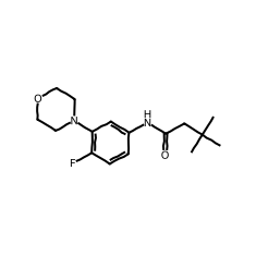 CC(C)(C)CC(=O)Nc1ccc(F)c(N2CCOCC2)c1